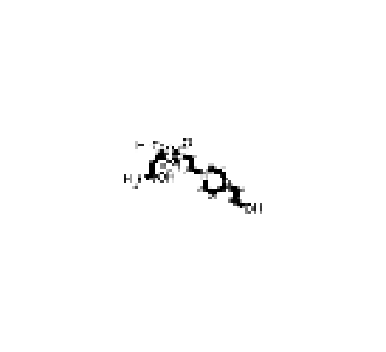 CC(O)CC(C)(C)OS(=O)(=O)CCN1CCN(CCO)CC1